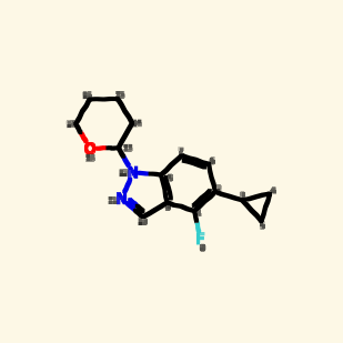 Fc1c(C2CC2)ccc2c1cnn2C1CCCCO1